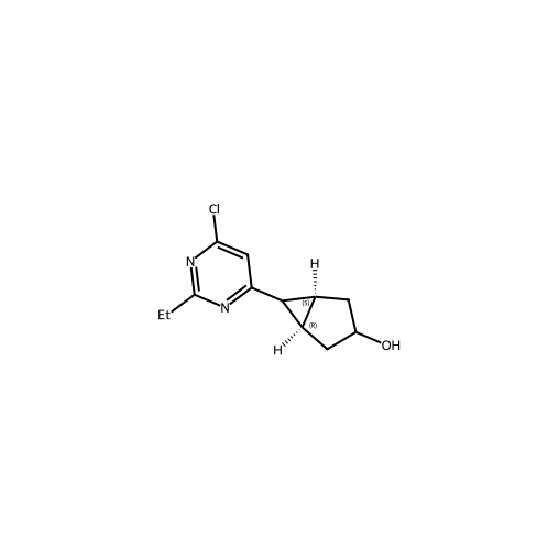 CCc1nc(Cl)cc(C2[C@H]3CC(O)C[C@@H]23)n1